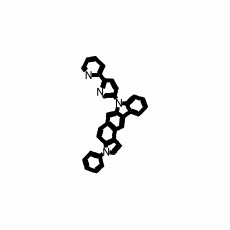 c1ccc(-n2ccc3c4cc5c6ccccc6n(-c6ccc(-c7ccccn7)nc6)c5cc4ccc32)cc1